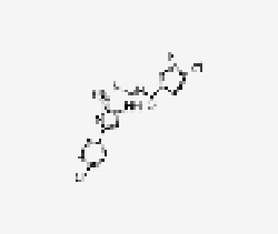 CC(C)(C)N/C(=N/C(=O)c1ccc(Cl)c(F)c1)Nc1cc(-c2ccc(Cl)cc2)n[nH]1